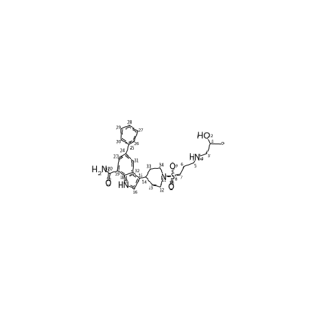 CC(O)CNCCCS(=O)(=O)N1CCC(c2c[nH]c3c(C(N)=O)cc(-c4ccccc4)cc23)CC1